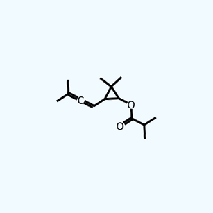 CC(C)=C=CC1C(OC(=O)C(C)C)C1(C)C